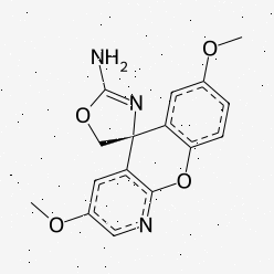 COc1ccc2c(c1)[C@]1(COC(N)=N1)c1cc(OC)cnc1O2